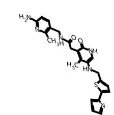 Cc1nc(N)ccc1CNC(=O)Cc1c(C)c(NCc2ccc(-c3ccccn3)s2)c[nH]c1=O